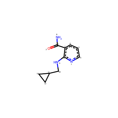 NC(=O)c1cccnc1NCC1CC1